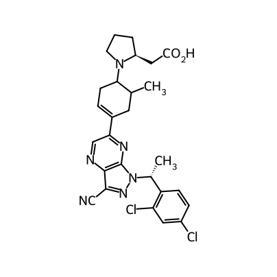 CC1CC(c2cnc3c(C#N)nn([C@H](C)c4ccc(Cl)cc4Cl)c3n2)=CCC1N1CCC[C@H]1CC(=O)O